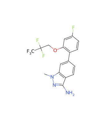 Cn1nc(N)c2ccc(-c3ccc(F)cc3OCC(F)(F)C(F)(F)F)cc21